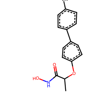 CC(Oc1ccc(-c2ccc(C#N)cc2)cc1)C(=O)NO